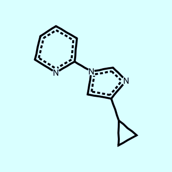 c1ccc(-n2cnc(C3CC3)c2)nc1